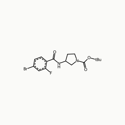 CC(C)(C)OC(=O)N1CCC(NC(=O)c2ccc(Br)cc2F)C1